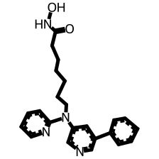 O=C(CCCCCCN(c1cncc(-c2ccccc2)c1)c1ccccn1)NO